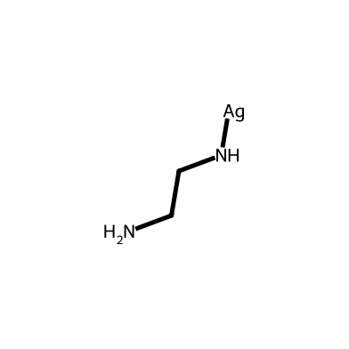 NCC[NH][Ag]